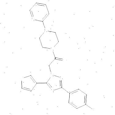 O=C(Cn1nc(-c2ccc(F)cc2)nc1-c1ccoc1)N1CCN(c2ccccn2)CC1